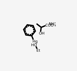 CC(O)C(=O)[O-].CCO.[Hg][c]1ccccc1.[NH4+]